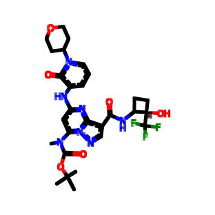 CN(C(=O)OC(C)(C)C)c1cc(Nc2cccn(C3CCOCC3)c2=O)nc2c(C(=O)NC3CC[C@]3(O)C(F)(F)F)cnn12